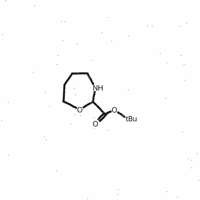 CC(C)(C)OC(=O)C1NCCCCO1